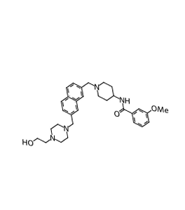 COc1cccc(C(=O)NC2CCN(Cc3ccc4ccc(CN5CCN(CCO)CC5)cc4c3)CC2)c1